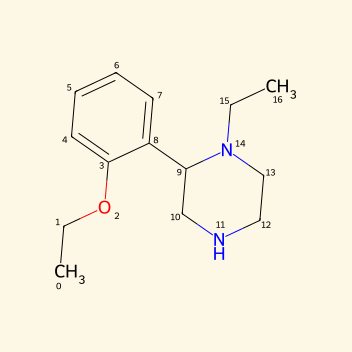 CCOc1ccccc1C1CNCCN1CC